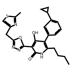 CCCCc1[nH]c(=O)c(-c2nnc(Cc3csc(C)n3)o2)c(O)c1-c1cccc(C2CC2)c1